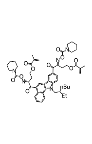 C=C(C)C(=O)OCC/C(=N\OC(=O)N1CCCCC1)C(=O)c1ccc2c(c1)c1cc(C(=O)/C(CCOC(=O)C(=C)C)=N/OC(=O)N3CCCCC3)c3ccccc3c1n2CC(CC)CCCC